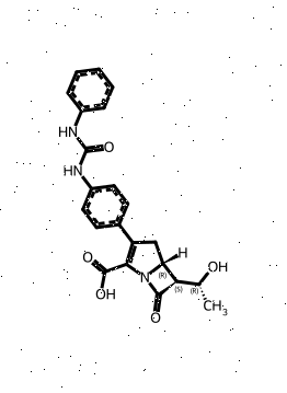 C[C@@H](O)[C@H]1C(=O)N2C(C(=O)O)=C(c3ccc(NC(=O)Nc4ccccc4)cc3)C[C@H]12